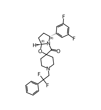 O=C1N2[C@@H](c3cc(F)cc(F)c3)CC[C@H]2OC12CCN(CC(F)(F)c1ccccc1)CC2